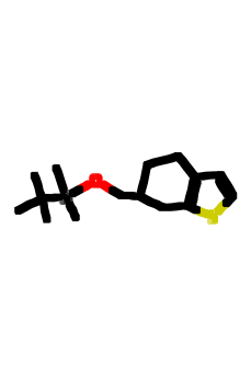 CC(C)(C)[Si](C)(C)OCC1CCc2ccsc2C1